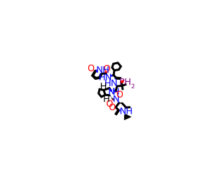 C=C(NC1CC1)C(=O)[C@H](CCC)NC(=O)[C@@H]1[C@H]2CCC[C@H]2CN1C(=O)[C@@H](N/C(=C\P)C(NC(=O)c1cccc(=O)[nH]1)C1CCCCC1)C(C)(C)C